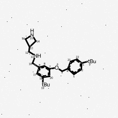 CC(C)(C)c1ccc(COc2cc(CNCC3CNC3)cc(C(C)(C)C)c2)cc1